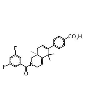 CC1(C)C(c2ccc(C(=O)O)cc2)=CC[C@]2(C)CN(C(=O)c3cc(F)cc(F)c3)CC=C12